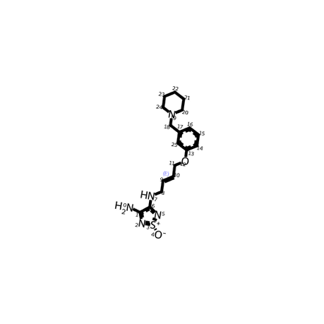 Nc1n[s+]([O-])nc1NC/C=C/COc1cccc(CN2CCCCC2)c1